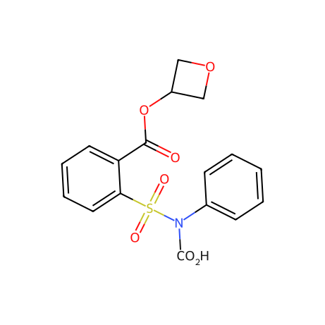 O=C(OC1COC1)c1ccccc1S(=O)(=O)N(C(=O)O)c1ccccc1